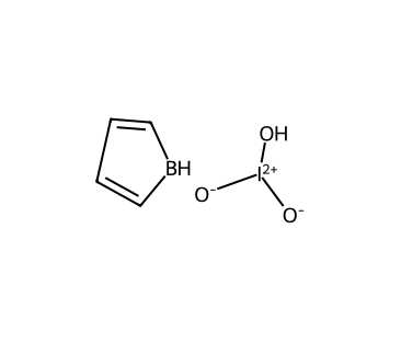 B1C=CC=C1.[O-][I+2]([O-])O